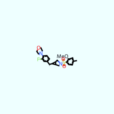 COc1cc(C)ccc1S(=O)(=O)N1CC2C([CH]c3ccc(N4CCOCC4)c(F)c3)C2C1